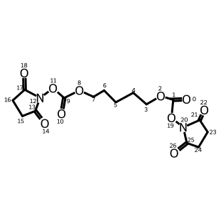 O=C(OCCCCCOC(=O)ON1C(=O)CCC1=O)ON1C(=O)CCC1=O